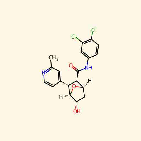 Cc1cc([C@H]2[C@H]3O[C@H](C[C@@H]3O)[C@@H]2C(=O)Nc2ccc(Cl)c(Cl)c2)ccn1